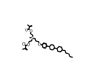 C=C(C)C(=O)OCC[Si](C)(CCCOc1ccc(C2CCC(C3CCC(CCCCC)CC3)CC2)cc1)CCOC(=O)C(=C)C